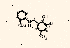 CC(C)(C)c1ccccc1NCc1cc([N+](=O)[O-])cc(Br)c1O